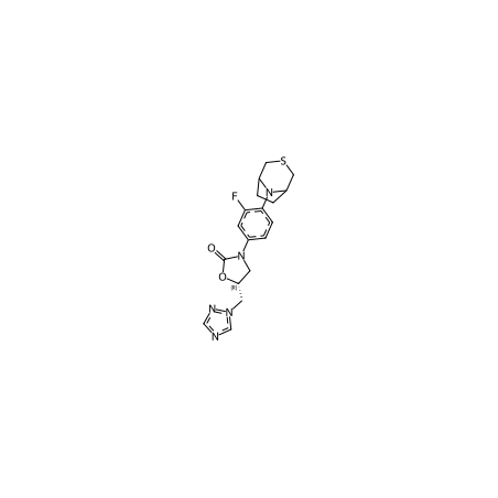 O=C1O[C@@H](Cn2cncn2)CN1c1ccc(N2C3CCC2CSC3)c(F)c1